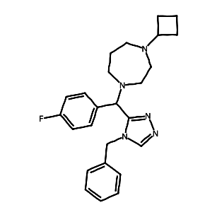 Fc1ccc(C(c2nncn2Cc2ccccc2)N2CCCN(C3CCC3)CC2)cc1